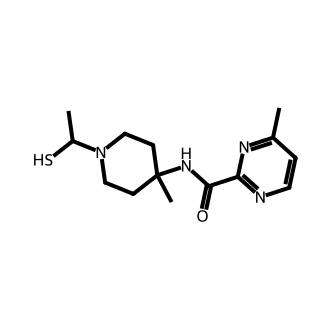 Cc1ccnc(C(=O)NC2(C)CCN(C(C)S)CC2)n1